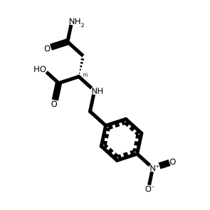 NC(=O)C[C@H](NCc1ccc([N+](=O)[O-])cc1)C(=O)O